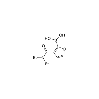 CCN(CC)C(=O)c1ccoc1B(O)O